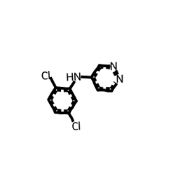 Clc1ccc(Cl)c(Nc2ccnnc2)c1